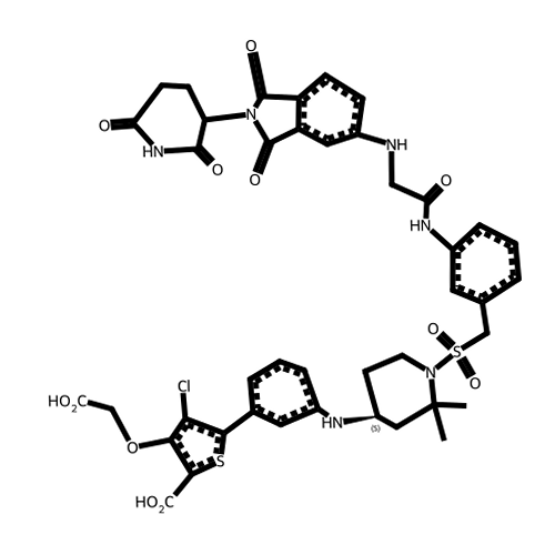 CC1(C)C[C@@H](Nc2cccc(-c3sc(C(=O)O)c(OCC(=O)O)c3Cl)c2)CCN1S(=O)(=O)Cc1cccc(NC(=O)CNc2ccc3c(c2)C(=O)N(C2CCC(=O)NC2=O)C3=O)c1